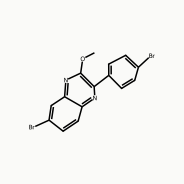 COc1nc2cc(Br)ccc2nc1-c1ccc(Br)cc1